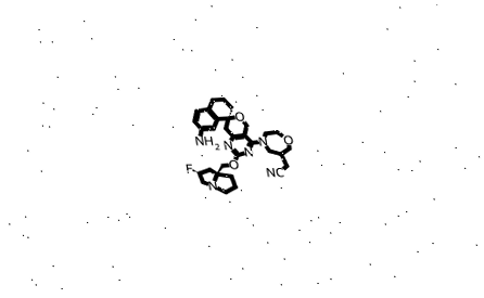 N#CCC1COCCN(c2nc(OC[C@@]34CCCN3C[C@H](F)C4)nc3c2CO[C@@]2(CCCc4ccc(N)cc42)C3)C1